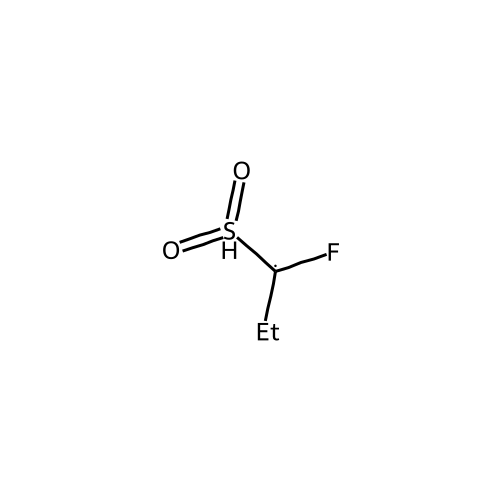 CC[C](F)[SH](=O)=O